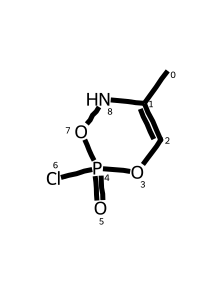 CC1=COP(=O)(Cl)ON1